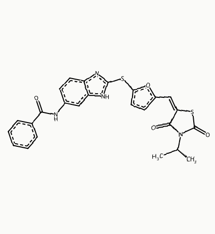 CC(C)N1C(=O)SC(=Cc2ccc(Sc3nc4ccc(NC(=O)c5ccccc5)cc4[nH]3)o2)C1=O